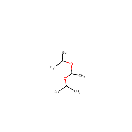 [CH2]C(OC(C)C(C)CC)OC(C)C(C)CC